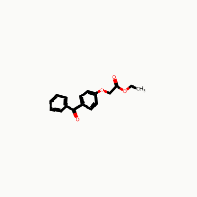 CCOC(=O)COc1ccc(C(=O)c2ccccc2)cc1